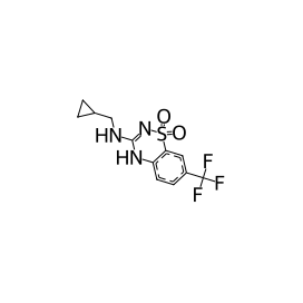 O=S1(=O)N=C(NCC2CC2)Nc2ccc(C(F)(F)F)cc21